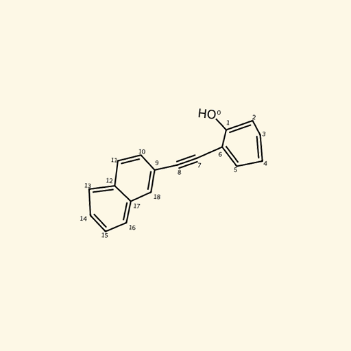 Oc1ccccc1C#Cc1ccc2ccccc2c1